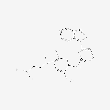 COC1=CC(N(C)CCN(C)C)=C([N+](=O)[O-])CC1Nc1nccc(-n2ncc3ccccc32)n1